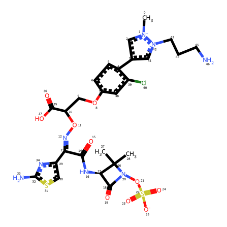 C[n+]1cc(-c2ccc(OCC(O/N=C(\C(=O)N[C@@H]3C(=O)N(OS(=O)(=O)[O-])C3(C)C)c3csc(N)n3)C(=O)O)cc2Cl)cn1CCCN